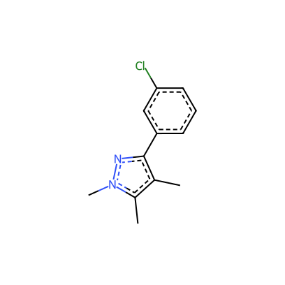 Cc1c(-c2cccc(Cl)c2)nn(C)c1C